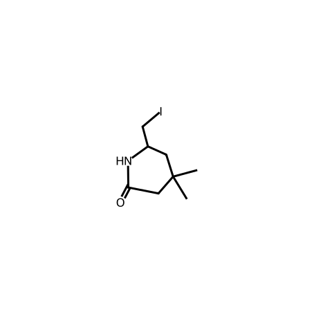 CC1(C)CC(=O)NC(CI)C1